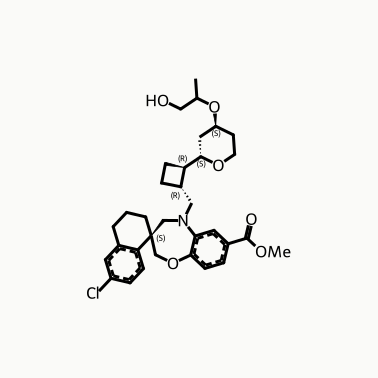 COC(=O)c1ccc2c(c1)N(C[C@@H]1CC[C@H]1[C@@H]1C[C@@H](OC(C)CO)CCO1)C[C@@]1(CCCc3cc(Cl)ccc31)CO2